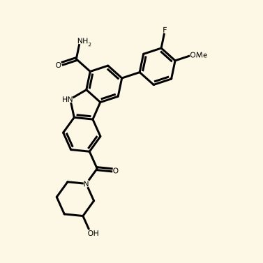 COc1ccc(-c2cc(C(N)=O)c3[nH]c4ccc(C(=O)N5CCCC(O)C5)cc4c3c2)cc1F